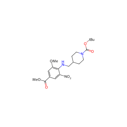 COC(=O)c1cc(OC)c(NCC2CCN(C(=O)OC(C)(C)C)CC2)c([N+](=O)[O-])c1